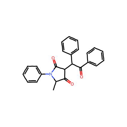 CC1C(=O)C(C(C(=O)c2ccccc2)c2ccccc2)C(=O)N1c1ccccc1